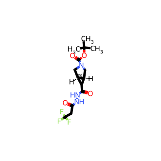 CC(C)(C)OC(=O)N1C[C@@H]2C(C(=O)NNC(=O)CC(F)(F)F)[C@@H]2C1